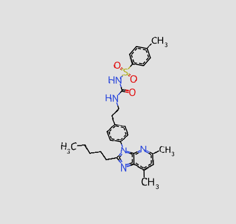 CCCCCc1nc2c(C)cc(C)nc2n1-c1ccc(CCNC(=O)NS(=O)(=O)c2ccc(C)cc2)cc1